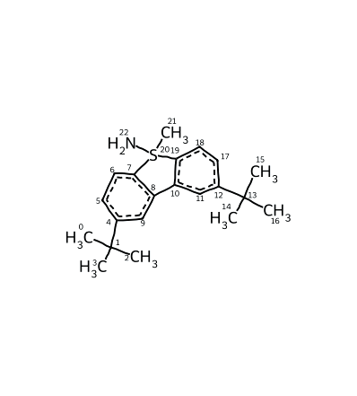 CC(C)(C)c1ccc2c(c1)-c1cc(C(C)(C)C)ccc1S2(C)N